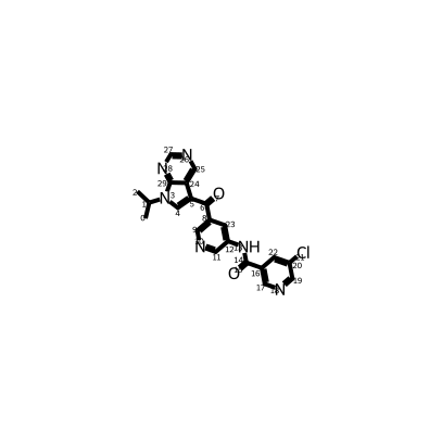 CC(C)n1cc(C(=O)c2cncc(NC(=O)c3cncc(Cl)c3)c2)c2cncnc21